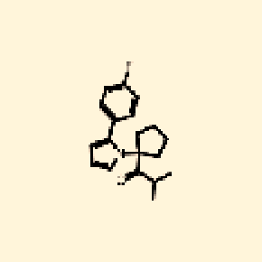 CC(C)C(=O)C1(n2cccc2-c2ccc(F)cc2)CCCC1